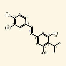 CC(C)c1c(O)cc(/C=C/c2ccc(O)c(O)c2)cc1O